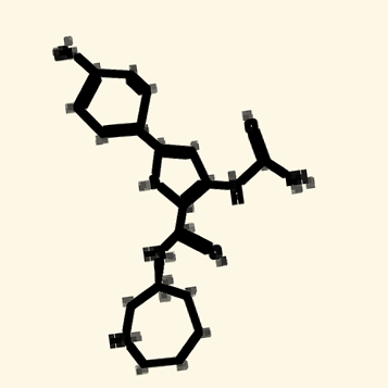 CC(C)(C)c1ccc(-c2cc(NC(N)=O)c(C(=O)N[C@H]3CCCCNC3)s2)cc1